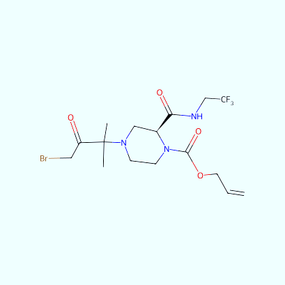 C=CCOC(=O)N1CCN(C(C)(C)C(=O)CBr)C[C@H]1C(=O)NCC(F)(F)F